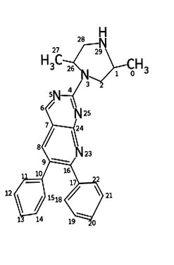 CC1CN(c2ncc3cc(-c4ccccc4)c(-c4cc[c]cc4)nc3n2)C(C)CN1